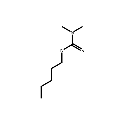 CCCCC[N]C(=S)N(C)C